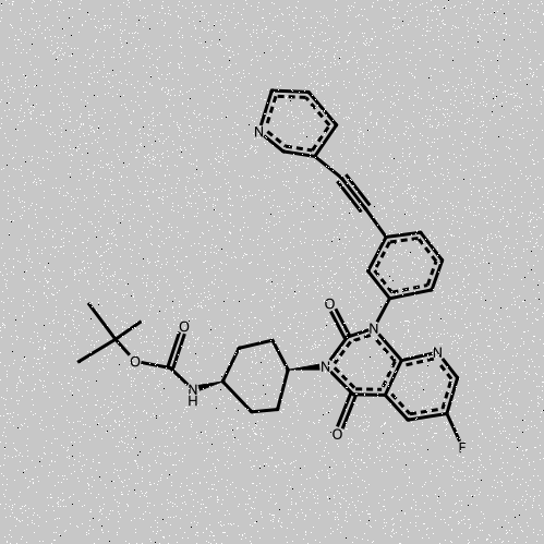 CC(C)(C)OC(=O)N[C@H]1CC[C@@H](n2c(=O)c3cc(F)cnc3n(-c3cccc(C#Cc4cccnc4)c3)c2=O)CC1